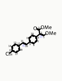 CO/C=C(\C(=O)OC)c1ccc(/C=C/c2ccc(Cl)cc2)cc1